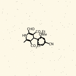 CCOC(=O)C1=C(C)NC(C=O)=C(C(=O)OCC)C1c1ccc(C#N)cc1OC